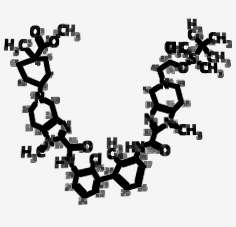 COC(=O)C1(C)CCC(N2CCc3c(nc(C(=O)Nc4cccc(-c5cccc(NC(=O)c6nc7c(n6C)CCN(C[C@H](C)O[Si](C)(C)C(C)(C)C)C7)c5C)c4Cl)n3C)C2)CC1